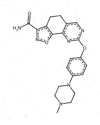 CN1CCN(c2ccc(Oc3ncc4c(n3)-c3onc(C(N)=O)c3CC4)cc2)CC1